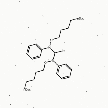 C[CH]C(N(OCCCCCCCCCCCCCC)c1ccccc1)N(OCCCCCCCCCCCCCC)c1ccccc1